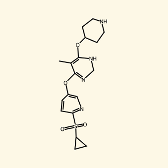 CC1=C(OC2CCNCC2)NCN=C1Oc1ccc(S(=O)(=O)C2CC2)nc1